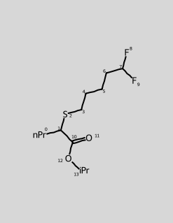 CCCC(SCCCCC(F)F)C(=O)OC(C)C